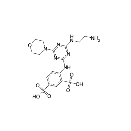 NCCNc1nc(Nc2ccc(S(=O)(=O)O)cc2S(=O)(=O)O)nc(N2CCOCC2)n1